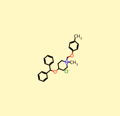 Cc1ccc(OC[N+]2(C)CCC(OC(c3ccccc3)c3ccccc3)CC2)cc1.[Cl-]